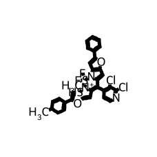 CC1C=CC(C2=C[SH]3C(=CC4=C(c5ccnc(Cl)c5Cl)c5cc6oc(-c7ccccc7)cc6n5S(F)(F)[N+]43C)O2)=CC1